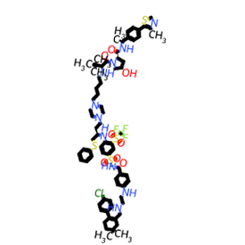 Cc1ncsc1-c1ccc([C@H](C)NC(=O)[C@@H]2C[C@@H](O)CN2C(=O)[C@@H](NCCCCCN2CCN(CC[C@H](CSc3ccccc3)Nc3ccc(S(=O)(=O)NC(=O)c4ccc(NCCNCC5=C(c6ccc(Cl)cc6)CCC(C)(C)C5)cc4)cc3S(=O)(=O)C(F)(F)F)CC2)C(C)(C)C)cc1